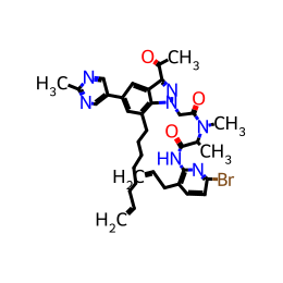 C=CCCCCCCc1cc(-c2cnc(C)nc2)cc2c(C(C)=O)nn(CC(=O)N(C)C(C)C(=O)Nc3nc(Br)ccc3CC=C)c12